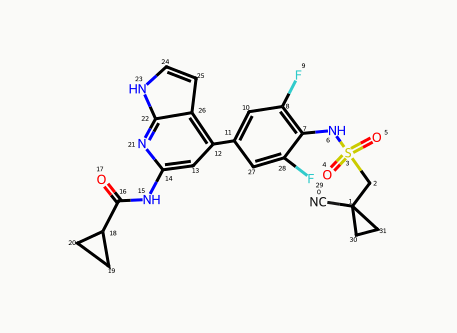 N#CC1(CS(=O)(=O)Nc2c(F)cc(-c3cc(NC(=O)C4CC4)nc4[nH]ccc34)cc2F)CC1